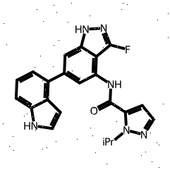 CC(C)n1nccc1C(=O)Nc1cc(-c2cccc3[nH]ccc23)cc2[nH]nc(F)c12